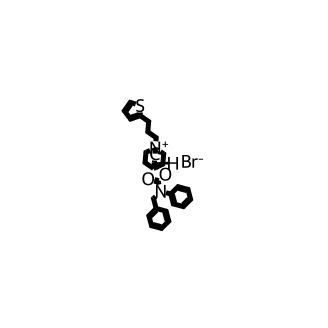 O=C(O[C@H]1C[N+]2(CCCc3cccs3)CCC1CC2)N(Cc1ccccc1)c1ccccc1.[Br-]